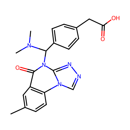 Cc1ccc2c(c1)c(=O)n(C(c1ccc(CC(=O)O)cc1)N(C)C)c1nncn21